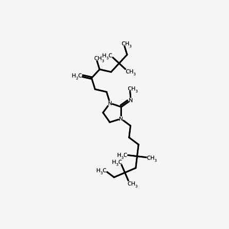 C=C(CCN1CCN(CCCC(C)(C)CC(C)(C)CC)/C1=N/C)C(C)CC(C)(C)CC